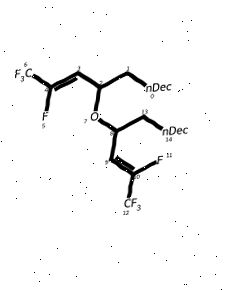 CCCCCCCCCCCC(C=C(F)C(F)(F)F)OC(C=C(F)C(F)(F)F)CCCCCCCCCCC